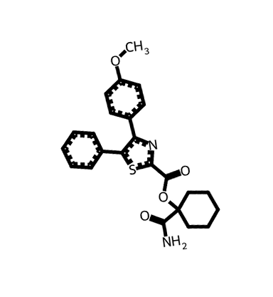 COc1ccc(-c2nc(C(=O)OC3(C(N)=O)CCCCC3)sc2-c2ccccc2)cc1